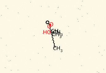 CCCCCCCCCCCC(C(O)CCCOC(=O)c1ccccc1)C(C)(C)C